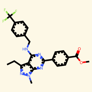 CCc1nn(C)c2nc(-c3ccc(C(=O)OC)cc3)nc(NCc3ccc(C(F)(F)F)cc3)c12